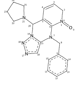 O=[N+]1CC=CC2=C1N(Cc1ccccc1)c1cnnn1C2N1CCCC1